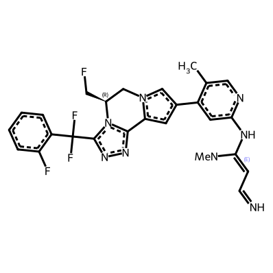 CN/C(=C\C=N)Nc1cc(-c2cc3n(c2)C[C@H](CF)n2c-3nnc2C(F)(F)c2ccccc2F)c(C)cn1